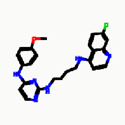 COc1ccc(Nc2ccnc(NCCCCNc3ccnc4cc(Cl)ccc34)n2)cc1